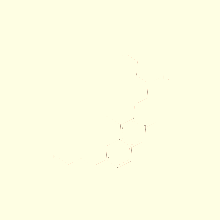 CCCC(C)COc1c(O)c2cc(OCCO)ccc2oc1=O